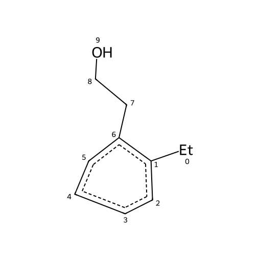 [CH2]Cc1ccccc1CCO